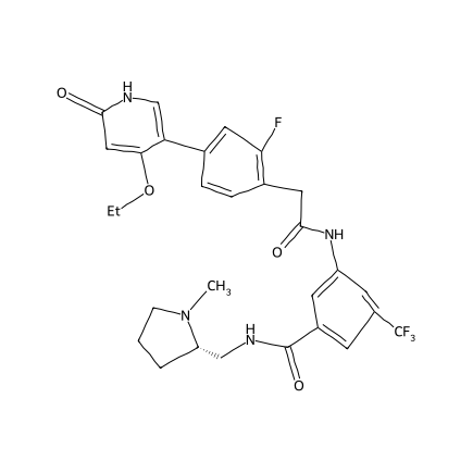 CCOc1cc(=O)[nH]cc1-c1ccc(CC(=O)Nc2cc(C(=O)NC[C@@H]3CCCN3C)cc(C(F)(F)F)c2)c(F)c1